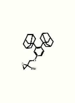 CC(C)(C)C1(COc2ccc(C34CC5CC(CC(C5)C3)C4)c(C34CC5CC(CC(C5)C3)C4)c2)CO1